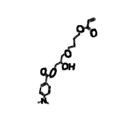 C=CC(=O)OCCCCOCC(O)COC(=O)c1ccc(N(C)C)cc1